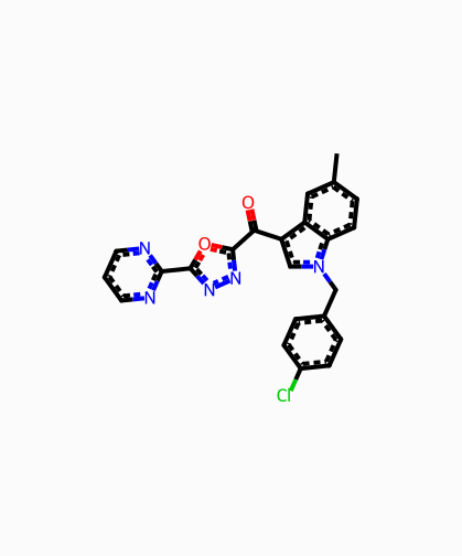 Cc1ccc2c(c1)c(C(=O)c1nnc(-c3ncccn3)o1)cn2Cc1ccc(Cl)cc1